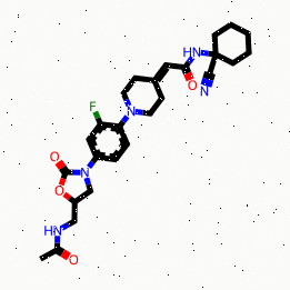 CC(=O)NCC1CN(c2ccc(N3CCC(=CC(=O)NC4(C#N)CCCCC4)CC3)c(F)c2)C(=O)O1